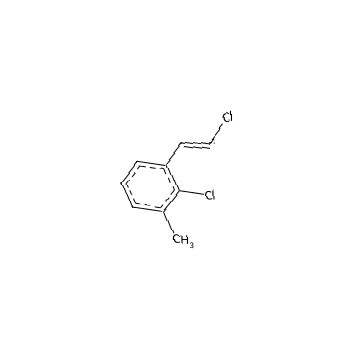 Cc1cccc(C=[C]Cl)c1Cl